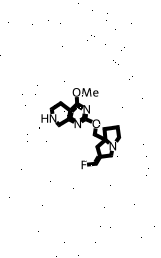 COc1nc(OCC23CCCN2CC(=CF)C3)nc2c1CCNC2